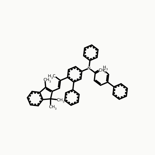 C=C(/C=C\C(=C/C)c1ccccc1)N(c1ccccc1)c1ccc(/C(C)=C/C2=C(C)c3ccccc3C2(C)C)c(-c2ccccc2)c1